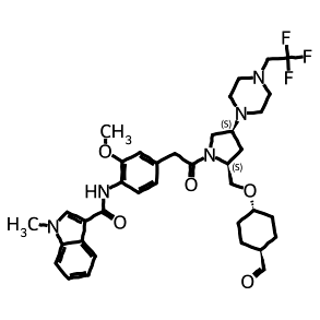 COc1cc(CC(=O)N2C[C@@H](N3CCN(CC(F)(F)F)CC3)C[C@H]2CO[C@H]2CC[C@H](C=O)CC2)ccc1NC(=O)c1cn(C)c2ccccc12